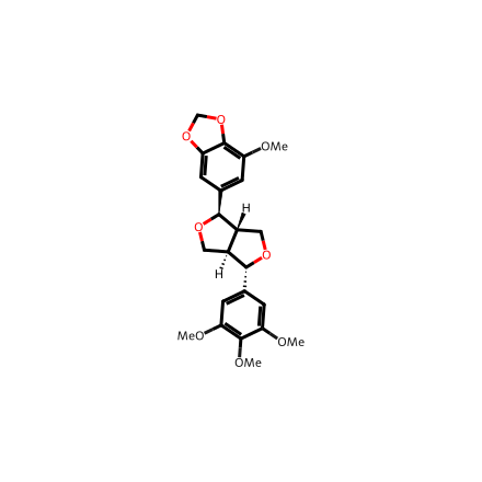 COc1cc([C@H]2OC[C@@H]3[C@@H]2CO[C@H]3c2cc(OC)c3c(c2)OCO3)cc(OC)c1OC